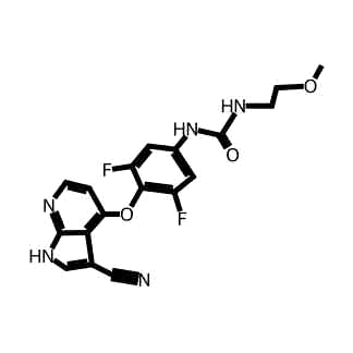 COCCNC(=O)Nc1cc(F)c(Oc2ccnc3[nH]cc(C#N)c23)c(F)c1